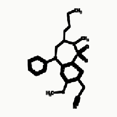 CCCCC1CN(c2ccccc2)c2cc(SC)c(CC#N)cc2S(=O)(=O)N1C